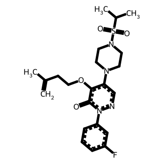 C=C(C)CCOc1c(N2CCN(S(=O)(=O)C(C)C)CC2)cnn(-c2cccc(F)c2)c1=O